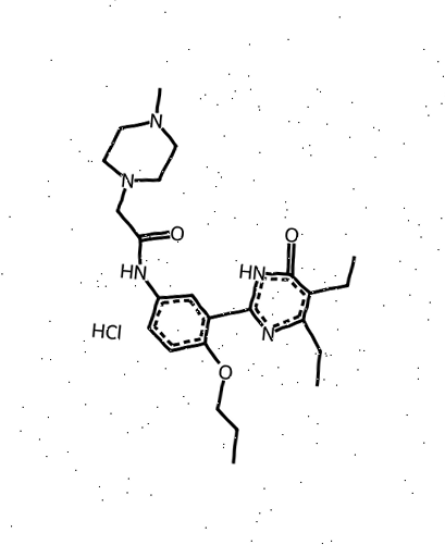 CCCOc1ccc(NC(=O)CN2CCN(C)CC2)cc1-c1nc(CC)c(CC)c(=O)[nH]1.Cl